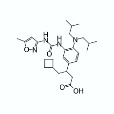 Cc1cc(NC(=O)Nc2cc(C(CC(=O)O)CC3CCC3)ccc2N(CC(C)C)CC(C)C)no1